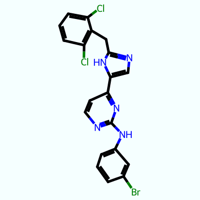 Clc1cccc(Cl)c1Cc1ncc(-c2ccnc(Nc3cccc(Br)c3)n2)[nH]1